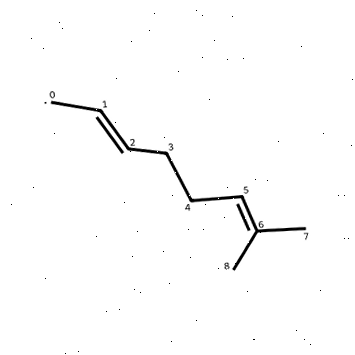 [CH2]C=CCCC=C(C)C